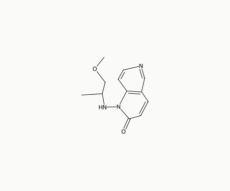 COCC(C)Nn1c(=O)ccc2cnccc21